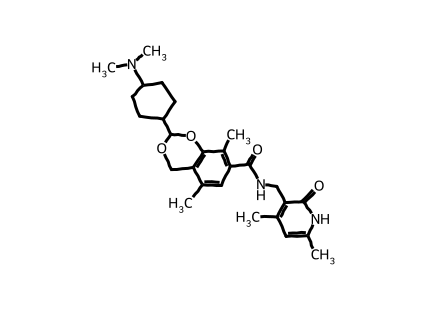 Cc1cc(C)c(CNC(=O)c2cc(C)c3c(c2C)OC(C2CCC(N(C)C)CC2)OC3)c(=O)[nH]1